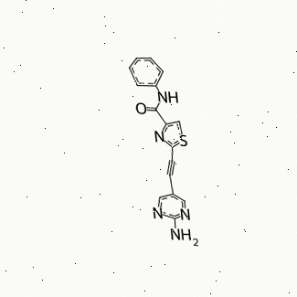 Nc1ncc(C#Cc2nc(C(=O)Nc3ccccc3)cs2)cn1